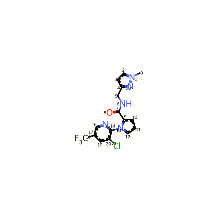 Cn1ccc(CNC(=O)c2cccn2-c2ncc(C(F)(F)F)cc2Cl)n1